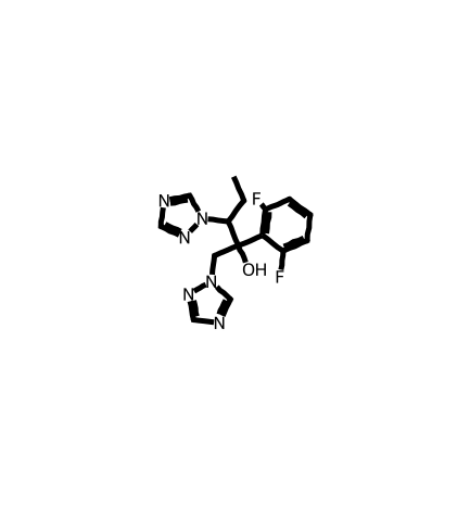 CCC(n1cncn1)C(O)(Cn1cncn1)c1c(F)cccc1F